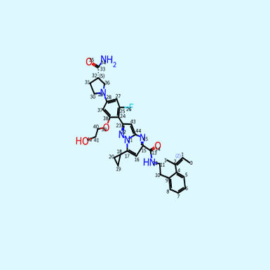 C/C=C(/C)c1ccccc1CCNC(=O)c1cc(C2CC2)n2nc(-c3c(F)cc(N4CC[C@H](C(N)=O)C4)cc3OCCO)cc2n1